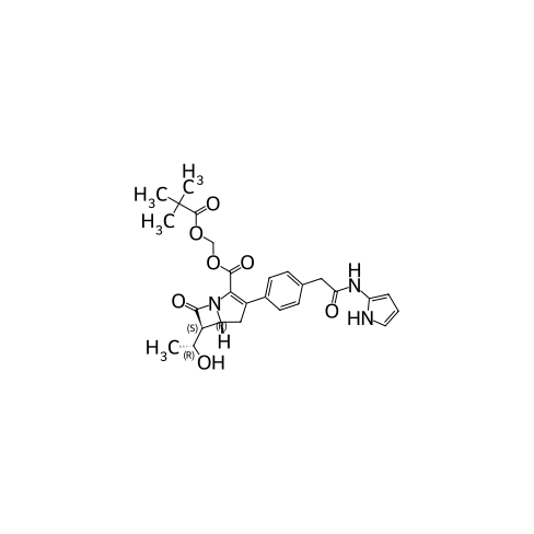 C[C@@H](O)[C@H]1C(=O)N2C(C(=O)OCOC(=O)C(C)(C)C)=C(c3ccc(CC(=O)Nc4ccc[nH]4)cc3)C[C@H]12